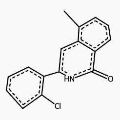 Cc1cccc2c(=O)[nH]c(-c3ccccc3Cl)cc12